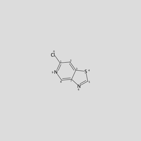 Clc1cc2scnc2cn1